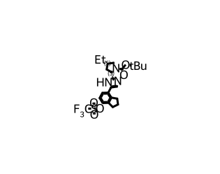 CC[C@H]1C[C@@H](c2ncc(-c3ccc(OS(=O)(=O)C(F)(F)F)c4c3CCC4)[nH]2)N(C(=O)OC(C)(C)C)C1